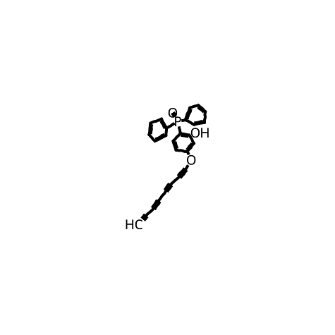 C#CC#CC#CC#COc1ccc(P(=O)(c2ccccc2)c2ccccc2)c(O)c1